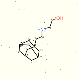 OCCNCCC12CC3CC(CC(C3)C1)C2